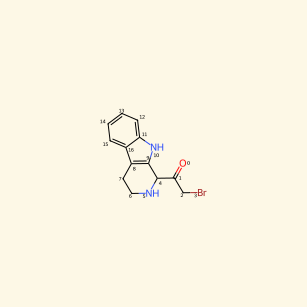 O=C(CBr)C1NCCc2c1[nH]c1ccccc21